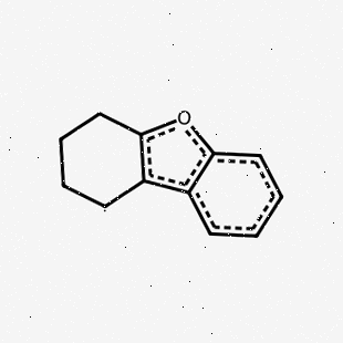 [CH]1CCCc2oc3ccccc3c21